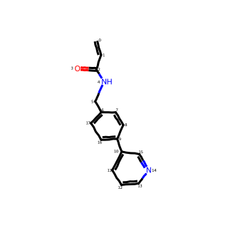 C=CC(=O)NCc1ccc(-c2cccnc2)cc1